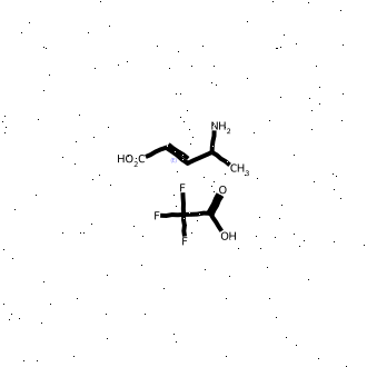 CC(N)/C=C/C(=O)O.O=C(O)C(F)(F)F